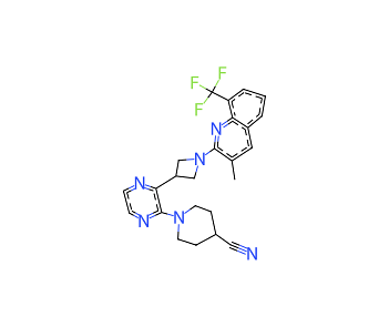 Cc1cc2cccc(C(F)(F)F)c2nc1N1CC(c2nccnc2N2CCC(C#N)CC2)C1